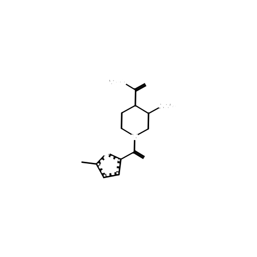 CNC1CN(C(=O)c2ccc(C)s2)CCC1C(=O)OC